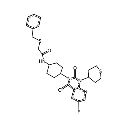 O=C(CSCc1ccccc1)NC1CCC(n2c(=O)c3cc(F)cnc3n(C3CCSCC3)c2=O)CC1